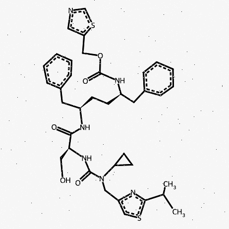 CC(C)c1nc(CN(C(=O)N[C@@H](CO)C(=O)N[C@H](CC[C@H](Cc2ccccc2)NC(=O)OCc2cncs2)Cc2ccccc2)C2CC2)cs1